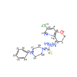 S=C(N/N=C1/CCOc2cc(Cl)cnc21)N1CCN(c2ccccc2)CC1